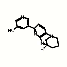 N#Cc1cncc(-c2ccc3c(n2)N[C@H]2CCCN3C2)c1